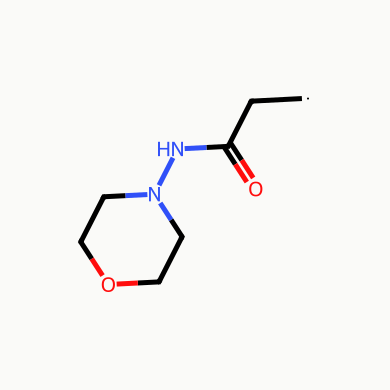 [CH2]CC(=O)NN1CCOCC1